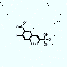 O=[N+]([O-])c1cc(C=C(Cl)P(=O)(O)O)c(Cl)cc1F